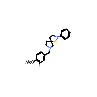 COc1ccc(CN2CCC3(CCN(c4ccccc4)S3)C2)cc1F